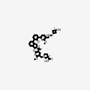 COc1nc(-c2cccc(-c3cccc4c3CC[C@@H]4Oc3nc(OC)c(CN4CC[C@@](C)(C(=O)O)C4)cc3C(F)(F)F)c2Cl)ccc1CNC[C@H]1C[C@](C)(O)C1